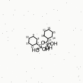 O[Si](O)(O[Si](O)(O)C1CCCCC1)C1CCCCC1